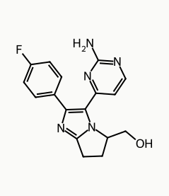 Nc1nccc(-c2c(-c3ccc(F)cc3)nc3n2C(CO)CC3)n1